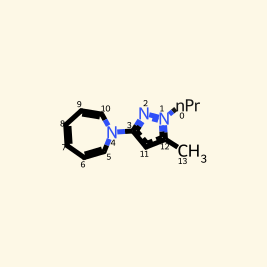 CCCn1nc(N2C=CC=CC=C2)cc1C